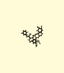 CCC1CN2CCc3cc(C)c(C)cc3C2CC1CC1c2cc(OC)c(OC)cc2CCN1C(=O)Oc1ccccc1